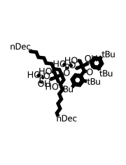 CCCCCCCCCCCCCCCCCCC(CCCCCCCCCCCCCCCCCC)(OP(O)OCC(CO)(CO)C(Oc1ccc(C(C)(C)C)cc1C(C)(C)C)c1ccc(C(C)(C)C)cc1C(C)(C)C)C(CO)(CO)COP(O)O